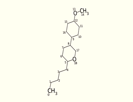 CCCCCC1CCC(C2CCC(OC)CC2)CO1